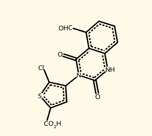 O=Cc1cccc2[nH]c(=O)n(-c3cc(C(=O)O)sc3Cl)c(=O)c12